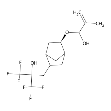 C=C(C)C(O)O[C@@H]1CC2CC1CC2CC(O)(C(F)(F)F)C(F)(F)F